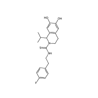 CC(C)C1c2cc(O)c(O)cc2CCN1C(=S)NCCc1ccc(F)cc1